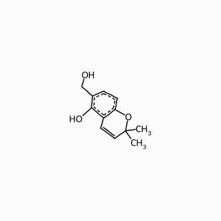 CC1(C)C=Cc2c(ccc(CO)c2O)O1